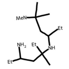 CCC(N)CC(C)(CC)NC(CC)CC(C)(C)NC